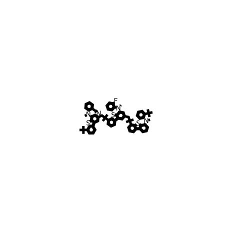 CN(c1ccccc1C#N)c1cc(CC(C)(C)c2cccc3c2sc2c(N(C)c4ccccc4F)cc(CC(C)(C)c4cccc5c4sc4c(N(C)c6ccccc6C(C)(C)C)cccc45)cc23)cc2c1sc1c(C(C)(C)C)cccc12